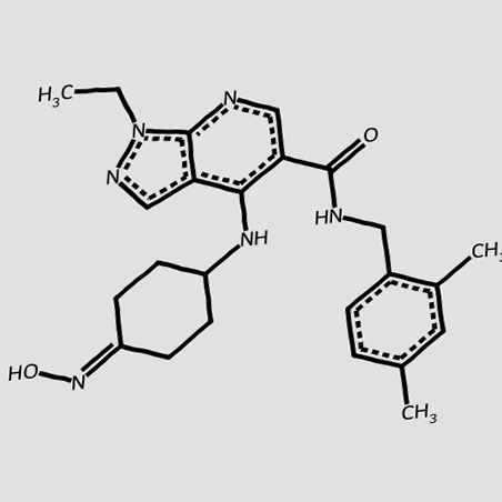 CCn1ncc2c(NC3CCC(=NO)CC3)c(C(=O)NCc3ccc(C)cc3C)cnc21